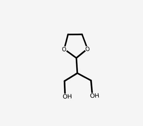 OCC(CO)C1OCCO1